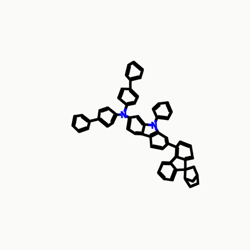 c1ccc(-c2ccc(N(c3ccc(-c4ccccc4)cc3)c3ccc4c5ccc(-c6cccc7c6-c6ccccc6C76CC7CCC6C7)cc5n(-c5ccccc5)c4c3)cc2)cc1